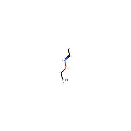 C/C=N/OCC=O